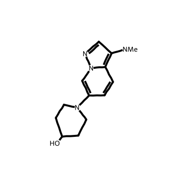 CNc1cnn2cc(N3CCC(O)CC3)ccc12